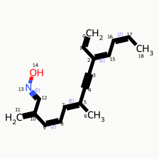 C=C/C(C#C/C(C)=C/C=C\C(=C)/C=N/O)=C\C=C/C